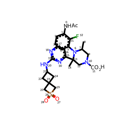 CC(=O)Nc1cccc(N2C(C)CN(C(=O)O)CC2(C)c2ccnc(NC3CC4(C3)CS(=O)(=O)C4)n2)c1F